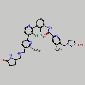 COc1cc(C(=O)Nc2cccc(-c3nccc(-c4ccc(CNC[C@H]5CCC(=O)N5)c(OC)n4)c3Cl)c2C)ncc1CN1CC[C@H](O)C1